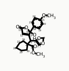 COC(=O)C1(C(C2=COCO2)C2=CC(=O)OC2(O)c2ccc(OC)cc2)CCCCC1